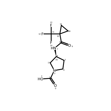 O=C(O)N1CC[C@H](NC(=O)C2(C(F)(F)F)CC2)C1